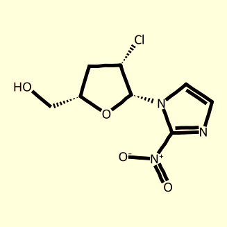 O=[N+]([O-])c1nccn1[C@@H]1O[C@H](CO)C[C@@H]1Cl